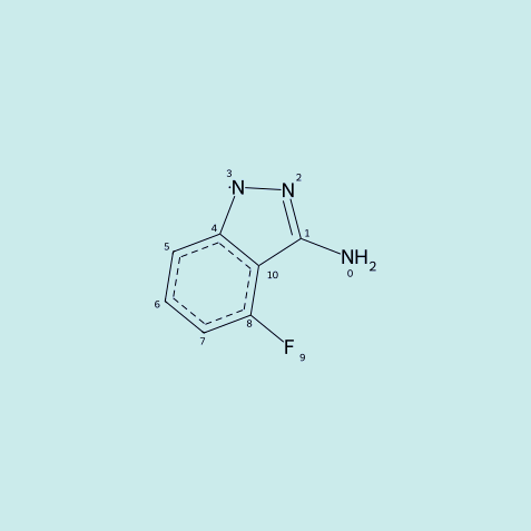 NC1=N[N]c2cccc(F)c21